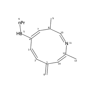 C=C1/C=C\C(BCCC)=C/C(C)/C=N\C(C)=C/1